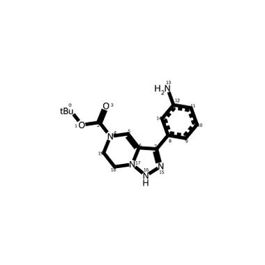 CC(C)(C)OC(=O)N1C=C2C(c3cccc(N)c3)=NNN2CC1